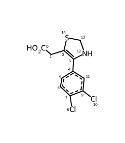 O=C(O)CC1=C(c2ccc(Cl)c(Cl)c2)NCS1